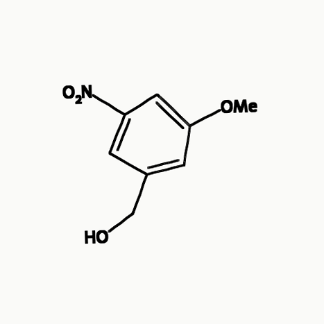 COc1cc(CO)cc([N+](=O)[O-])c1